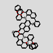 CC(C)c1cc(N(c2c(-c3ccccc3)ccc3ccc(-c4ccccc4)cc23)c2cccc3c2oc2ccccc23)c2ccc3c(C(C)C)cc(N(c4c(-c5ccccc5)ccc5ccc(-c6ccccc6)cc45)c4cccc5c4oc4ccccc45)c4ccc1c2c34